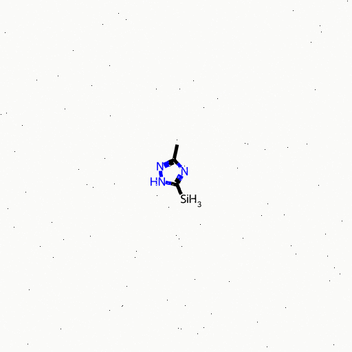 Cc1n[nH]c([SiH3])n1